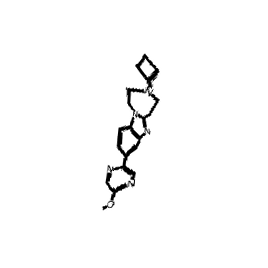 COc1cnc(-c2ccc3c(c2)nc2n3CCN(C3CCC3)CC2)cn1